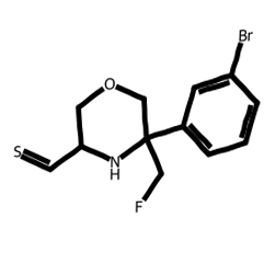 FCC1(c2cccc(Br)c2)COCC(C=S)N1